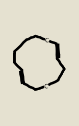 [C]1=C/CCCC/C=C/CCCCC/1